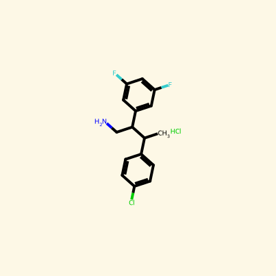 CC(c1ccc(Cl)cc1)C(CN)c1cc(F)cc(F)c1.Cl